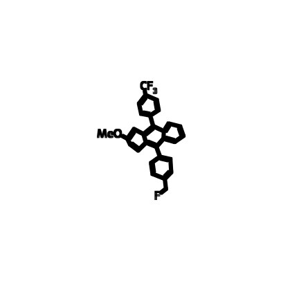 COc1ccc2c(-c3ccc(CF)cc3)c3ccccc3c(-c3ccc(C(F)(F)F)cc3)c2c1